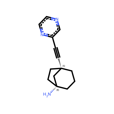 N[C@]12CCC[C@](C#Cc3cnccn3)(CC1)C2